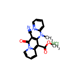 COC(=O)c1c(N(C)c2ccccn2)c(C#N)c(=O)n2ccccc12.Cl